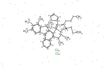 CCCC[C](CCCC)=[Zr+2]([C]1=CC=CC1)[C]1(C)c2c3c(c4ccccc4c2C(C)C(C)C1C)-c1cc(C)c(C)c(C)c1C3C.[Cl-].[Cl-]